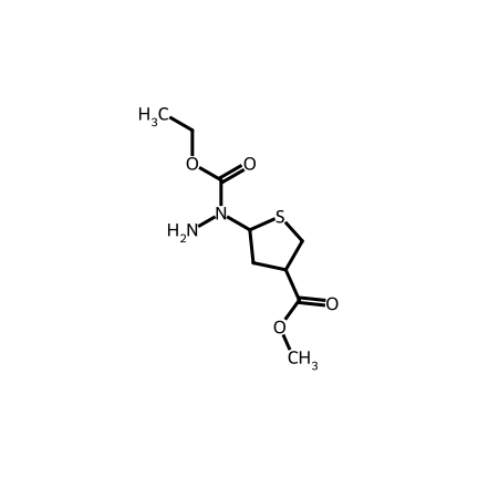 CCOC(=O)N(N)C1CC(C(=O)OC)CS1